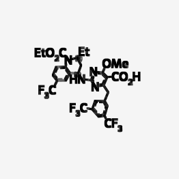 CCOC(=O)N1c2ccc(C(F)(F)F)cc2[C@@H](Nc2nc(Cc3cc(C(F)(F)F)cc(C(F)(F)F)c3)c(C(=O)O)c(OC)n2)C[C@H]1CC